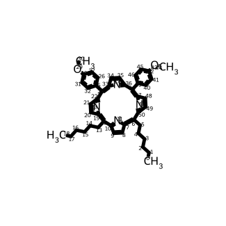 CCCCCCC1=C2C=CC(=N2)C(CCCCCC)=C2C=CC(=N2)C(c2ccc(OC)cc2)=C2C=CC(=N2)C(c2ccc(OC)cc2)=C2C=CC1=N2